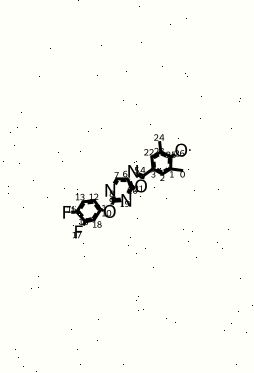 Cc1cc(-c2nc3cnc(Oc4ccc(F)c(F)c4)nc3o2)cc(C)c1[O]